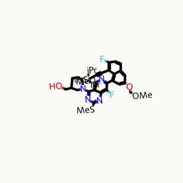 COCOc1cc(-c2nc(OC)c3c(N4CCCC(CO)C4)nc(SC)nc3c2F)c2c(C#C[Si](C(C)C)(C(C)C)C(C)C)c(F)ccc2c1